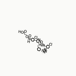 O=C(O)CCOC(=O)Nc1ccc(-c2cc([C@H](Cc3ccccc3)NC(=O)/C=C/c3cc(Cl)ccc3-n3cnnn3)nnc2Cl)cc1